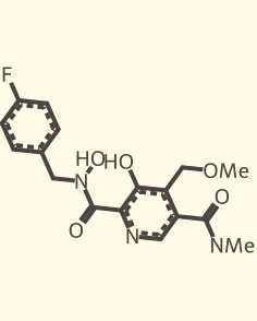 CNC(=O)c1cnc(C(=O)N(O)Cc2ccc(F)cc2)c(O)c1COC